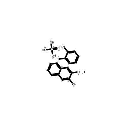 Nc1ccccc1Cl.O=C(O)c1cc2ccccc2cc1O.O=P(O)(O)O